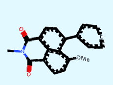 COc1ccc2c3c(ccc(-c4ccccc4)c13)C(=O)N(C)C2=O